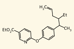 C=CCC(CC)C(C)c1ccc(Oc2ccc(C(=O)OCC)cn2)cc1